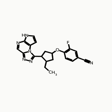 CCC1CC(Oc2ccc(C#N)cc2F)CC1c1nnc2cnc3[nH]ccc3n12